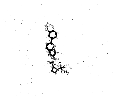 COc1cccc(-c2ccc3nc(NC(=O)C4CCN4C(C)(C)C)cn3n2)c1